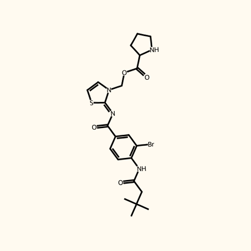 CC(C)(C)CC(=O)Nc1ccc(C(=O)N=c2sccn2COC(=O)C2CCCN2)cc1Br